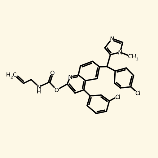 C=CCNC(=O)Oc1cc(-c2cccc(Cl)c2)c2cc(C(c3ccc(Cl)cc3)c3cncn3C)ccc2n1